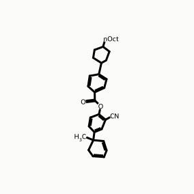 CCCCCCCCC1CCC(c2ccc(C(=O)Oc3ccc(C4(C)C=CC=CC4)cc3C#N)cc2)CC1